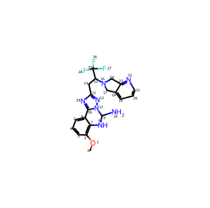 COc1cccc2c1NC(N)n1nc(CC(N3Cc4cccnc4C3)C(F)(F)F)nc1-2